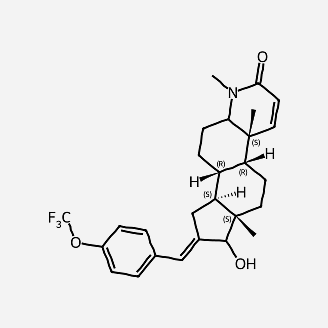 CN1C(=O)C=C[C@@]2(C)C1CC[C@@H]1[C@H]2CC[C@]2(C)C(O)C(=Cc3ccc(OC(F)(F)F)cc3)C[C@@H]12